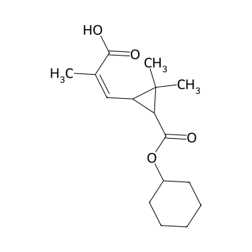 CC(=CC1C(C(=O)OC2CCCCC2)C1(C)C)C(=O)O